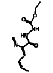 C=N/C(=C\C=C/C)C(=O)NNC(=O)OCC